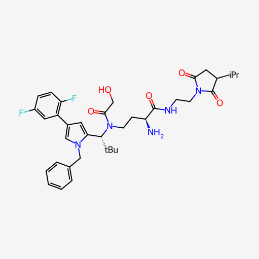 CC(C)C1CC(=O)N(CCNC(=O)[C@@H](N)CCN(C(=O)CO)[C@@H](c2cc(-c3cc(F)ccc3F)cn2Cc2ccccc2)C(C)(C)C)C1=O